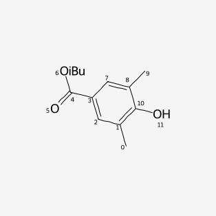 Cc1cc(C(=O)OCC(C)C)cc(C)c1O